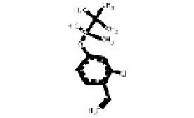 C=Cc1ccc(O[Si](C)(C)C(C)(C)C)cc1Cl